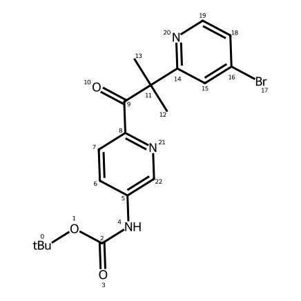 CC(C)(C)OC(=O)Nc1ccc(C(=O)C(C)(C)c2cc(Br)ccn2)nc1